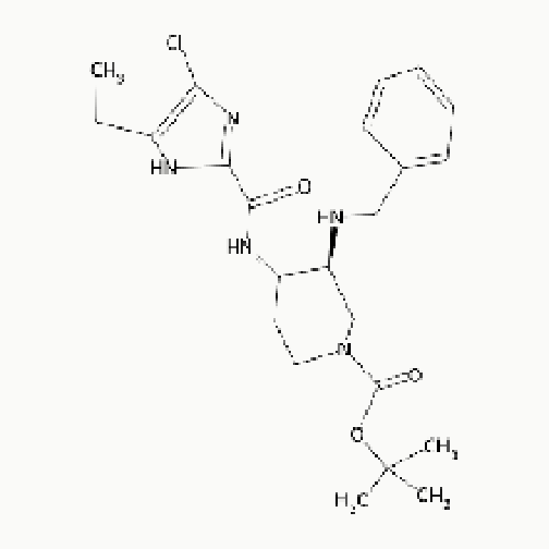 CCc1[nH]c(C(=O)N[C@H]2CCN(C(=O)OC(C)(C)C)C[C@@H]2NCc2ccccc2)nc1Cl